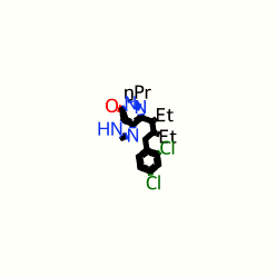 CCCn1nc(C(CC)C(CC)Cc2ccc(Cl)cc2Cl)c2nc[nH]c2c1=O